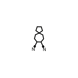 N#CC1CCC2(CCCC2)CCC1C#N